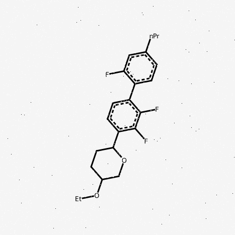 CCCc1ccc(-c2ccc(C3CCC(OCC)CO3)c(F)c2F)c(F)c1